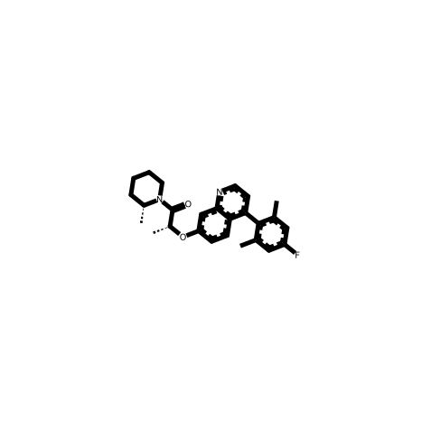 Cc1cc(F)cc(C)c1-c1ccnc2cc(O[C@H](C)C(=O)N3CCCC[C@H]3C)ccc12